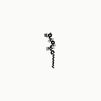 CCCCCCCCCCCN1CCC(C2NNC(CNc3cccc(C(=O)NCc4ccccc4OS(=O)(=O)F)c3)N2)CC1